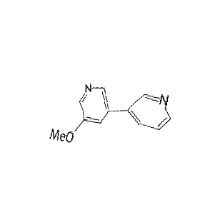 COc1cncc(-c2cccnc2)c1